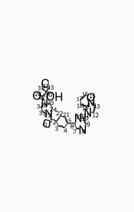 O=C(c1ccc(-c2cncc(N3C=CN4OC=CC=C43)n2)cc1)N1CCN(C(=O)C2(O)COC2)CC1